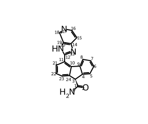 NC(=O)[C@@H]1c2ccccc2-c2c(-c3nc4ccncc4[nH]3)cccc21